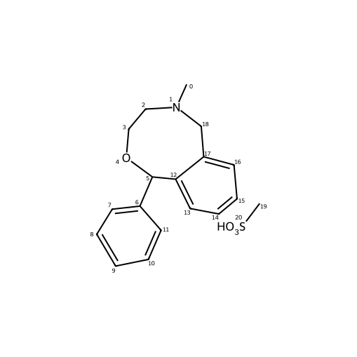 CN1CCOC(c2ccccc2)c2ccccc2C1.CS(=O)(=O)O